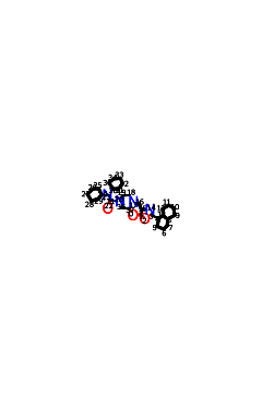 O=C1OC(c2cccc3ccccc23)=N/C1=C/N1CCN(C(=O)N(c2ccccc2)c2ccccc2)CC1